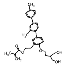 C=C(C)C(=O)OCCc1cc(-c2ccc(-c3ccc(C)cc3)cc2C)ccc1OCCC(CO)CO